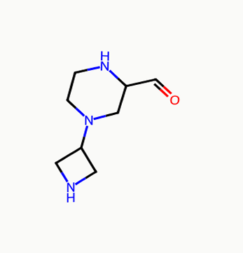 O=CC1CN(C2CNC2)CCN1